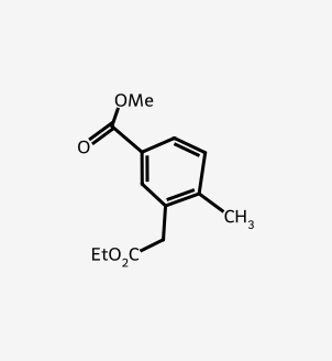 CCOC(=O)Cc1cc(C(=O)OC)ccc1C